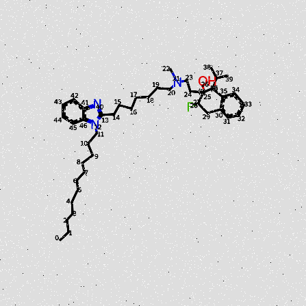 CCCCCCCCCCCCn1c(CCCCCCCN(C)CC[C@@]2(O)C(F)Cc3ccccc3[C@@H]2C(C)C)nc2ccccc21